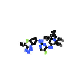 Cc1nnnn1-c1cc(Nc2ncc(F)c(NC3CC(C)(C)N(CC4CC4)C(C)(C)C3)n2)ccc1F